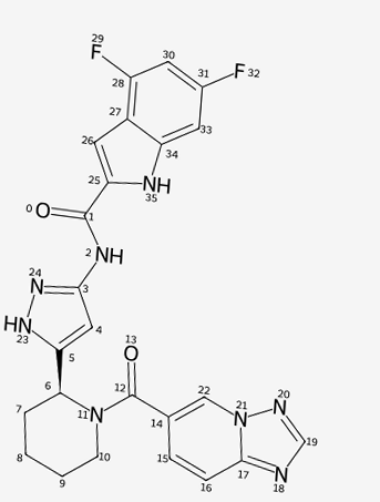 O=C(Nc1cc([C@@H]2CCCCN2C(=O)c2ccc3ncnn3c2)[nH]n1)c1cc2c(F)cc(F)cc2[nH]1